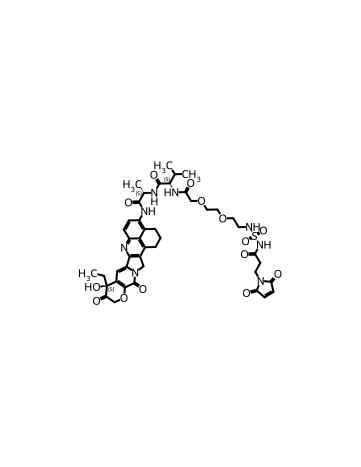 CC[C@@]1(O)C(=O)COc2c1cc1n(c2=O)Cc2c-1nc1ccc(NC(=O)[C@H](C)NC(=O)[C@@H](NC(=O)COCCOCCNS(=O)(=O)NC(=O)CCN3C(=O)C=CC3=O)C(C)C)c3c1c2CCC3